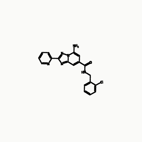 Nc1cc(C(=O)NCc2ccccc2Cl)cc2nc(-c3ccccn3)nn12